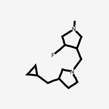 CN1CC(F)C(CN2CCC(CC3CC3)C2)C1